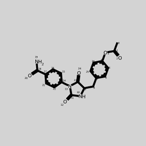 CC(=O)Oc1ccc(CC2NC(=O)N(c3ccc(C(N)=O)cc3)C2=O)cc1